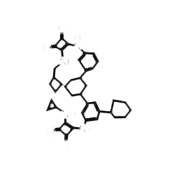 O=c1c(NCC2CCC2)c(Nc2cccc(C3CCCC(c4cc(Nc5c(NC6CC6)c(=O)c5=O)cc(C5CCCCC5)c4)C3)c2)c1=O